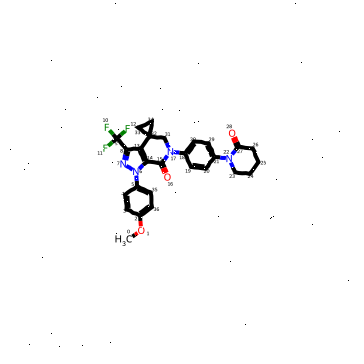 COc1ccc(-n2nc(C(F)(F)F)c3c2C(=O)N(c2ccc(N4CCCCC4=O)cc2)CC32CC2)cc1